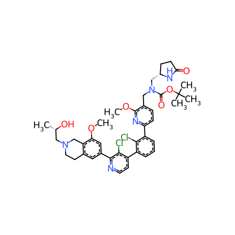 COc1cc(-c2nccc(-c3cccc(-c4ccc(CN(C[C@@H]5CCC(=O)N5)C(=O)OC(C)(C)C)c(OC)n4)c3Cl)c2Cl)cc2c1CN(C[C@H](C)O)CC2